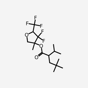 CC(C)C(CC(C)(C)C)C(=O)OC1(C)COC(C(F)(F)F)C1(F)F